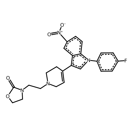 O=C1OCCN1CCN1CC=C(c2cn(-c3ccc(F)cc3)c3ccc([N+](=O)[O-])cc23)CC1